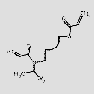 C=CC(=O)OCCCCN(C(=O)C=C)C(C)C